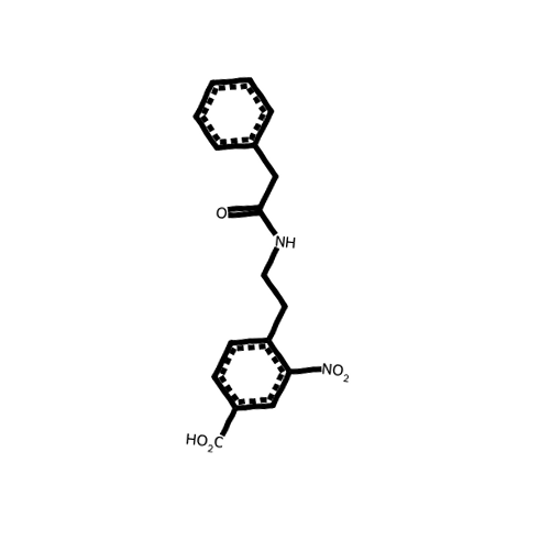 O=C(Cc1ccccc1)NCCc1ccc(C(=O)O)cc1[N+](=O)[O-]